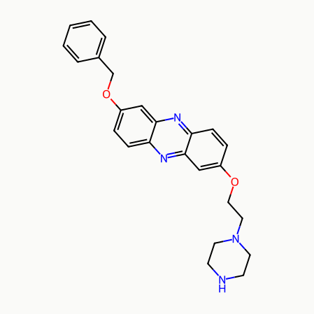 c1ccc(COc2ccc3nc4cc(OCCN5CCNCC5)ccc4nc3c2)cc1